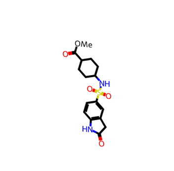 COC(=O)C1CCC(NS(=O)(=O)c2ccc3c(c2)CC(=O)N3)CC1